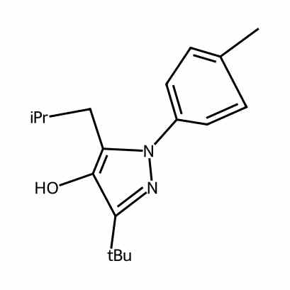 Cc1ccc(-n2nc(C(C)(C)C)c(O)c2CC(C)C)cc1